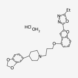 CCc1nnc(-c2cc3c(OCCCN4CCC(c5ccc6c(c5)OCO6)CC4)cccc3o2)o1.Cl.O